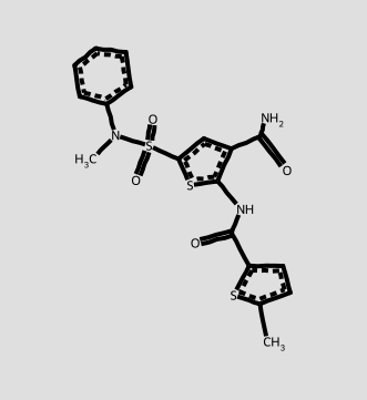 Cc1ccc(C(=O)Nc2sc(S(=O)(=O)N(C)c3ccccc3)cc2C(N)=O)s1